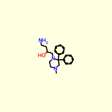 CN1CCN(CC(O)CCN)C(c2ccccc2)(c2ccccc2)C1